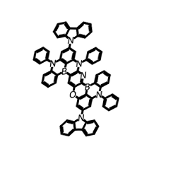 c1ccc(N2c3ccccc3B3c4nc5c(cc4Oc4cc(-n6c7ccccc7c7ccccc76)cc2c43)B2c3ccccc3N(c3ccccc3)c3cc(-n4c6ccccc6c6ccccc64)cc(c32)N5c2ccccc2)cc1